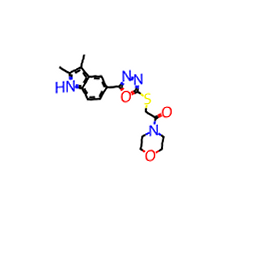 Cc1[nH]c2ccc(-c3nnc(SCC(=O)N4CCOCC4)o3)cc2c1C